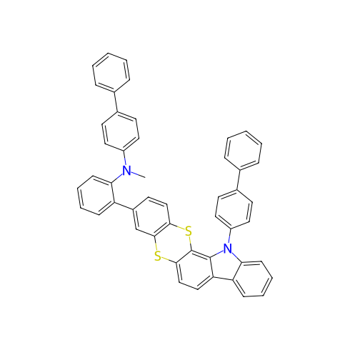 CN(c1ccc(-c2ccccc2)cc1)c1ccccc1-c1ccc2c(c1)Sc1ccc3c4ccccc4n(-c4ccc(-c5ccccc5)cc4)c3c1S2